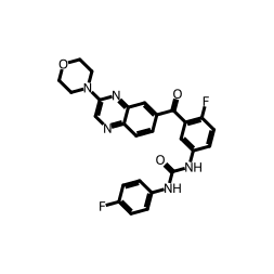 O=C(Nc1ccc(F)cc1)Nc1ccc(F)c(C(=O)c2ccc3ncc(N4CCOCC4)nc3c2)c1